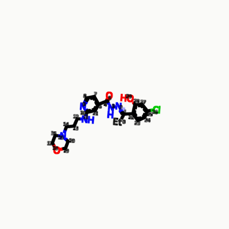 CC/C(=N\NC(=O)c1ccnc(NCCCN2CCOCC2)c1)c1ccc(Cl)cc1O